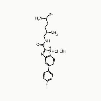 CC(C)C(N)CCC(N)CNC(=O)c1nc2cc(-c3ccc(F)cc3)ccc2[nH]1.Cl.Cl